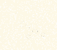 Cc1ccc(OCCN2CC3(COC3)C2)cc1C(=O)N[C@H](C)c1cc(-c2cnn(C)c2)cc(-c2cnn(C)c2)c1